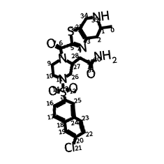 CC1Cc2nc(C(=O)N3CCN(S(=O)(=O)c4ccc5cc(Cl)ccc5c4)CC3CC(N)=O)sc2CN1